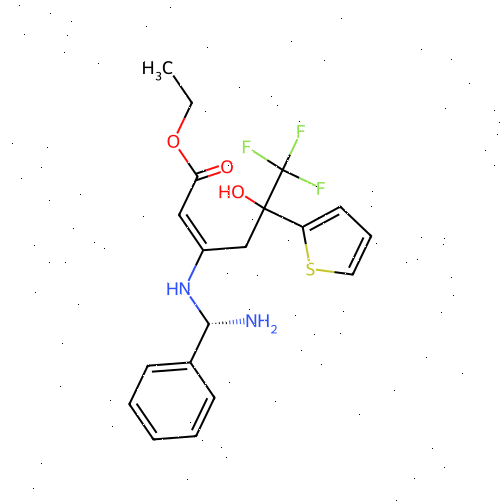 CCOC(=O)/C=C(\CC(O)(c1cccs1)C(F)(F)F)N[C@H](N)c1ccccc1